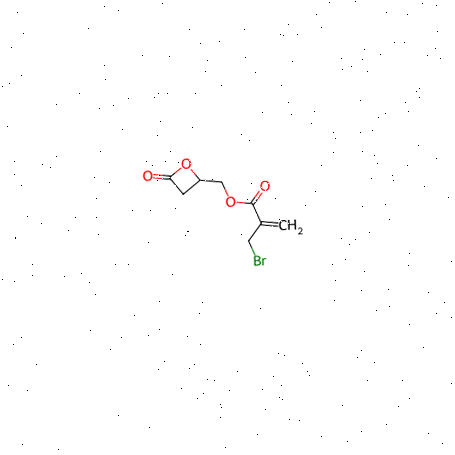 C=C(CBr)C(=O)OCC1CC(=O)O1